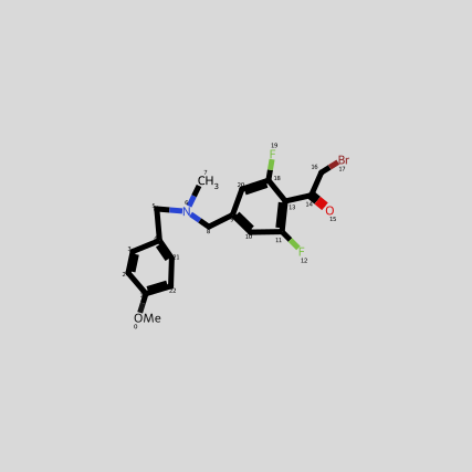 COc1ccc(CN(C)Cc2cc(F)c(C(=O)CBr)c(F)c2)cc1